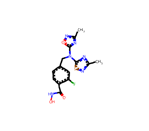 Cc1noc(N(Cc2ccc(C(=O)NO)c(F)c2)c2nc(C)ns2)n1